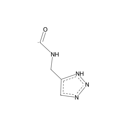 O=[C]NCc1cnn[nH]1